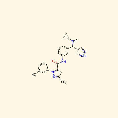 CN(C1CC1)C(c1cn[nH]c1)c1cccc(NC(=O)c2cc(C(F)(F)F)nn2-c2cccc(C#N)c2)c1